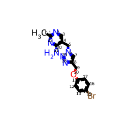 Cc1ncc(Cn2cc(COc3ccc(Br)cc3)nn2)c(N)n1